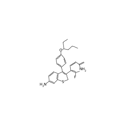 C=C(N)/C=C\C(C1=C(c2ccc(OC(CC)CCC)cc2)c2ccc(N)cc2SC1)=C(/C)F